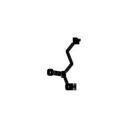 O=S(O)CCBr